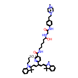 CN1/C(=C/C=C(/C=C/C2=[N+](CCCS(=O)(=O)O)c3ccccc3C2(C)C)c2ccc(C(=O)NCCCCCC(O)NCC(=O)Nc3ccc(CC[N+]45CC[N+](C)(CC4)CC5)cc3)cn2)C(C)(C)c2ccccc21